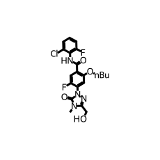 CCCCOc1cc(-n2nc(CO)n(C)c2=O)c(F)cc1C(=O)Nc1c(F)cccc1Cl